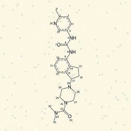 Cc1ccc(NC(=O)Nc2cccc3c2CCC3N2CCN(C(=O)N(C)C)CC2)cn1